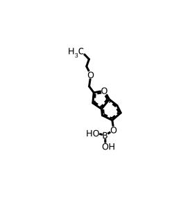 CCCOCc1cc2cc(OB(O)O)ccc2o1